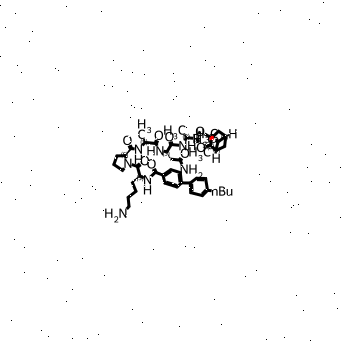 CCCCc1ccc(-c2ccc(C(=O)N[C@@H](CCCCN)C(=O)N3CCC[C@H]3C(=O)N[C@@H](C)C(=O)N[C@@H](CC(N)=O)C(=O)N[C@@H](C)B3OC4C[C@@H]5C[C@@H](C5(C)C)[C@]4(C)O3)cc2)cc1